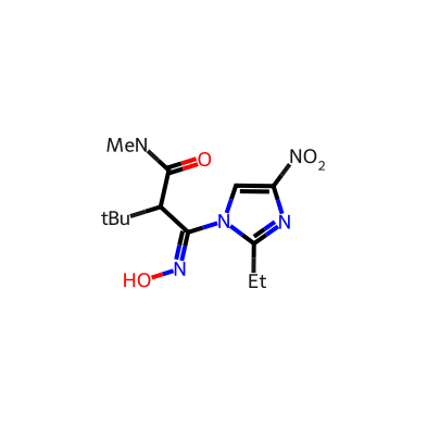 CCc1nc([N+](=O)[O-])cn1C(=NO)C(C(=O)NC)C(C)(C)C